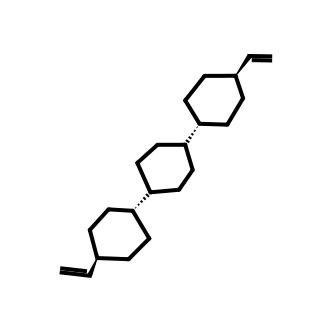 C=C[C@H]1CC[C@H](C2CCC([C@H]3CC[C@H](C=C)CC3)CC2)CC1